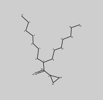 CCCCCCCC(CCCCCCC)C(=O)C1CC1